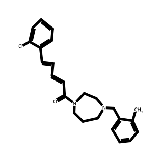 Cc1ccccc1CN1CCCN(C(=O)/C=C/C=C/c2ccccc2Cl)CC1